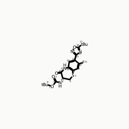 CC(C)(C)OC(=O)N[C@H]1CSc2cc(F)c(-c3noc(C(C)(C)C)n3)cc2NC1=O